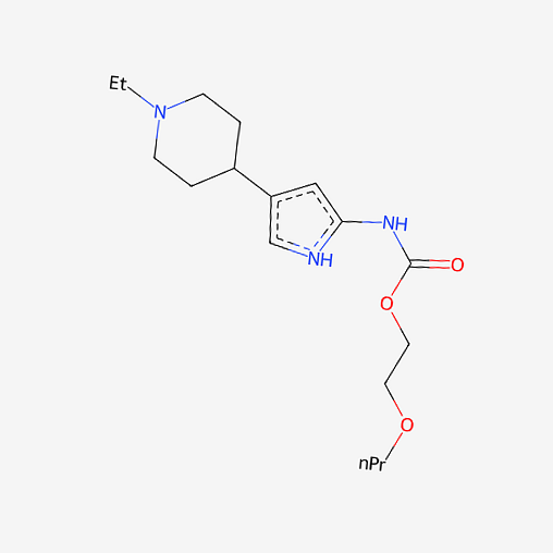 CCCOCCOC(=O)Nc1cc(C2CCN(CC)CC2)c[nH]1